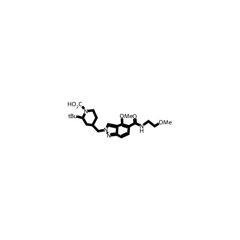 COCCNC(=O)c1ccc2nn(CC3CCN(C(=O)O)C(C(C)(C)C)C3)cc2c1OC